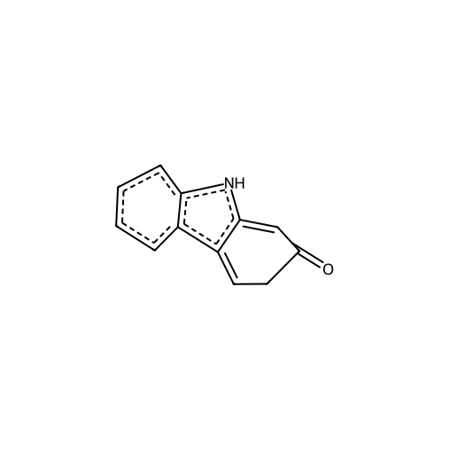 O=C1C=c2[nH]c3ccccc3c2=CC1